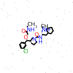 CCNC(=O)CO[C@@H](c1cccc(Cl)c1)[C@@H]1CCCN(C(=O)N[C@H](CNC)CC2CCCCC2)C1